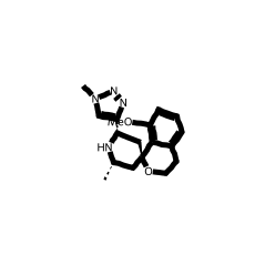 COc1cccc2c1[C@]1(C[C@@H](c3cn(C)nn3)N[C@@H](C)C1)OCC2